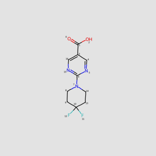 O=C(O)c1cnc(N2CCC(F)(F)CC2)nc1